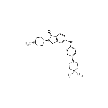 CN1CCC(N2Cc3cc(Nc4ccc(N5CCC(C)(C)CC5)cc4)ccc3C2=O)CC1